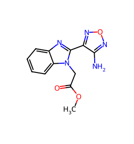 COC(=O)Cn1c(-c2nonc2N)nc2ccccc21